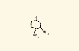 NC1CCC(I)CC1N